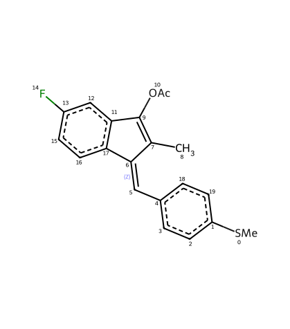 CSc1ccc(/C=C2\C(C)=C(OC(C)=O)c3cc(F)ccc32)cc1